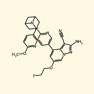 COc1ccc(CN2C3CC2CN(c2ccc(-c4cc(OCCF)cn5nc(N)c(C#N)c45)cn2)C3)cn1